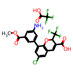 COC(=O)c1cc(N)cc(-c2cc(Cl)cc3c2OC(C(F)(F)F)C(C(=O)O)=C3)c1.O=C(O)C(F)(F)F